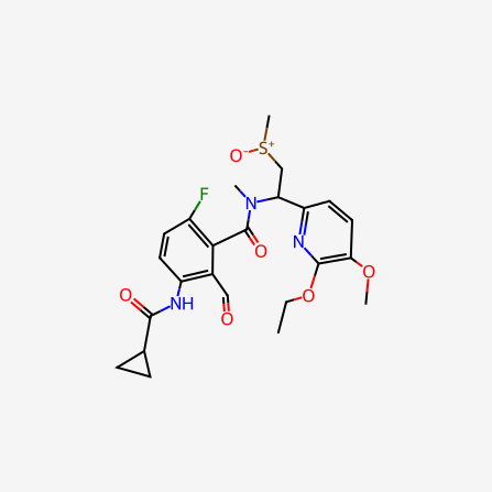 CCOc1nc(C(C[S+](C)[O-])N(C)C(=O)c2c(F)ccc(NC(=O)C3CC3)c2C=O)ccc1OC